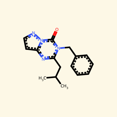 CC(C)Cc1nc2ccnn2c(=O)n1Cc1ccccc1